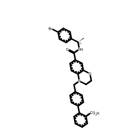 C[C@H](NC(=O)c1ccc2c(c1)OCCN2Cc1ccc(-c2ccccc2C(=O)O)cc1)c1ccc(Br)cc1